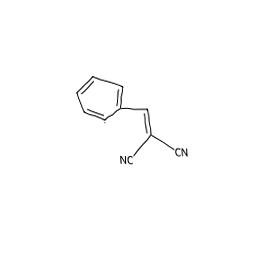 N#CC(C#N)=Cc1[c]cccc1